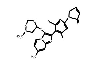 Cc1ccn2c(CC3CN(C(=O)O)CCO3)c(-c3c(F)cc(N4CC=CC4=O)cc3F)nc2c1